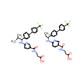 CC(C)C(Nc1ccc(C(=O)NCCC(=O)O)cn1)c1ccc(-c2ccc(C(F)(F)F)cc2)cc1.CCC(Nc1ccc(C(=O)NCCC(=O)O)cn1)c1ccc(-c2ccc(C(F)(F)F)cc2)cc1